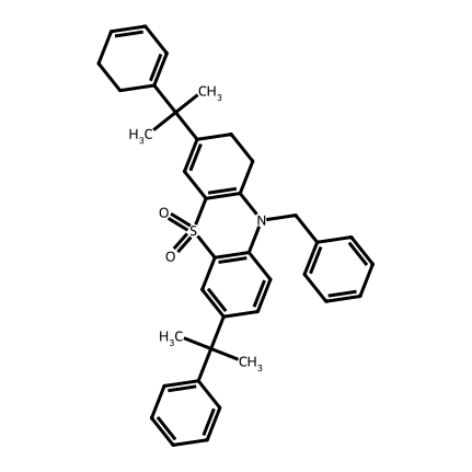 CC(C)(C1=CC=CCC1)C1=CC2=C(CC1)N(Cc1ccccc1)c1ccc(C(C)(C)c3ccccc3)cc1S2(=O)=O